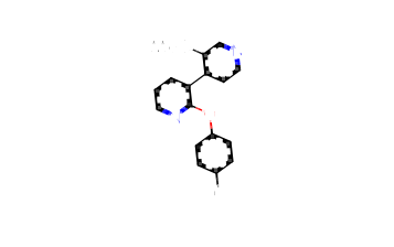 COc1cnccc1-c1cccnc1Oc1ccc(C(F)(F)F)cc1